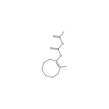 C=C(C)OC(=O)OC1=C(C)CCCCCC1